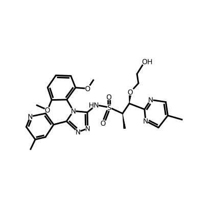 COc1cccc(OC)c1-n1c(NS(=O)(=O)[C@H](C)[C@@H](OCCO)c2ncc(C)cn2)nnc1-c1cncc(C)c1